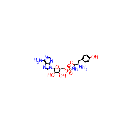 Nc1ncnc2c1ncn2[C@@H]1O[C@@H](COS(=O)(=O)NC(=O)[C@@H](N)Cc2ccc(O)cc2)[C@H](O)[C@H]1O